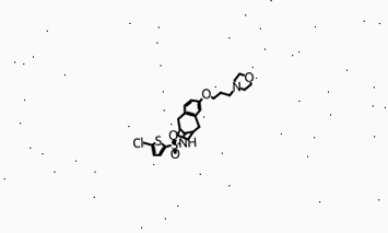 O=S(=O)(NC1C2CCC1Cc1cc(OCCCN3CCOCC3)ccc1C2)c1ccc(Cl)s1